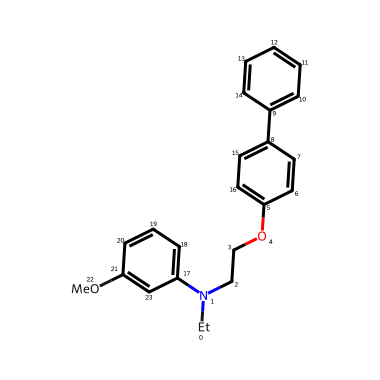 CCN(CCOc1ccc(-c2ccccc2)cc1)c1cccc(OC)c1